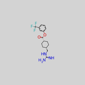 N=C(N)NC[C@H]1CC[C@H](C(=O)Oc2cccc(C(F)(F)F)c2)CC1